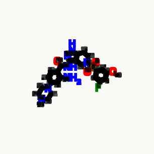 COc1cc(F)cc(S(=O)(=O)N2CCc3[nH]nc(NC(=O)c4ccc(N5CCN(C)CC5)cc4N)c3C2)c1